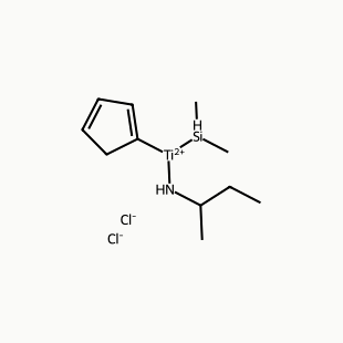 CCC(C)[NH][Ti+2]([C]1=CC=CC1)[SiH](C)C.[Cl-].[Cl-]